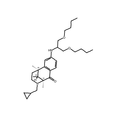 CCCCOCC(COCCCC)Nc1ccc2c(c1)[C@]1(C)CCN(CC3CC3)[C@](C)(C2=O)[C@@H]1C